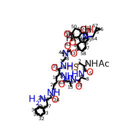 CC(=O)NC(CS)C(=O)NC(C)C(=O)NC(C)C(=O)NC(CCCCNC(=O)C(N)Cc1ccccc1)C(=O)NCCN(C)C(=O)OC1=C2O[C@H]3C(=O)CC[C@@]4(O)[C@H]5CC(C=C1)C2[C@@]34CCN5CC1CC1